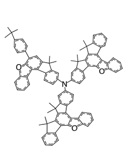 CC(C)(C)c1ccc(-c2cc3c(c4c2oc2ccccc24)-c2ccc(N(c4ccc5c(c4)C(C)(C)c4c6c(c7c(oc8ccccc87)c4-5)-c4ccccc4C6(C)C)c4ccc5c(c4)C(C)(C)c4c6c(c7oc8ccccc8c7c4-5)-c4ccccc4C6(C)C)cc2C3(C)C)cc1